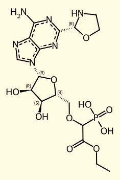 CCOC(=O)C(OC[C@H]1O[C@@H](n2cnc3c(N)nc([C@@H]4NCCO4)nc32)[C@H](O)[C@@H]1O)P(=O)(O)O